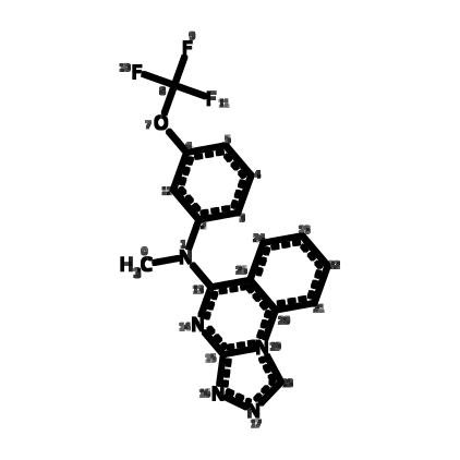 CN(c1cccc(OC(F)(F)F)c1)c1nc2nncn2c2ccccc12